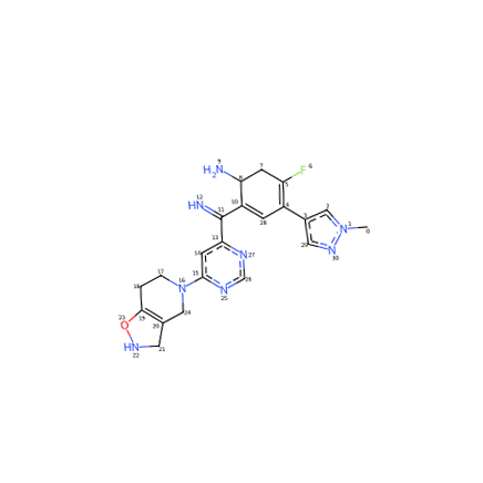 Cn1cc(C2=C(F)CC(N)C(C(=N)c3cc(N4CCC5=C(CNO5)C4)ncn3)=C2)cn1